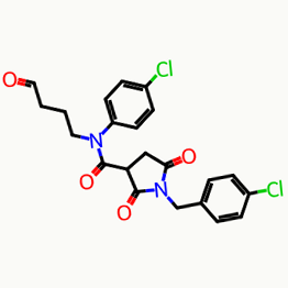 O=CCCCN(C(=O)C1CC(=O)N(Cc2ccc(Cl)cc2)C1=O)c1ccc(Cl)cc1